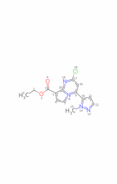 CCOC(=O)c1ccn2c(-c3ccnn3C)cc(Cl)nc12